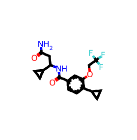 NC(=O)CC(NC(=O)c1ccc(C2CC2)c(OCC(F)(F)F)c1)C1CC1